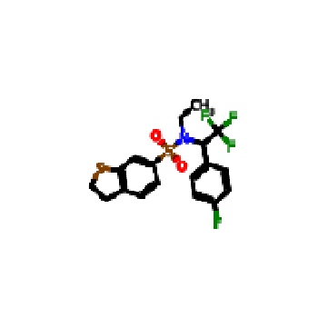 CCN(C(c1ccc(F)cc1)C(F)(F)F)S(=O)(=O)c1ccc2c(c1)SCC2